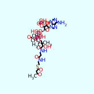 CC(=O)CC(=O)SCCNC(=O)CCNC(=O)C(O)C(C)(C)COP(=O)(O)OP(=O)(O)OC[C@H]1O[C@@H](n2cnc3c(N)ncnc32)[C@H](O)[C@@H]1OP(=O)(O)O.CC(C)=O